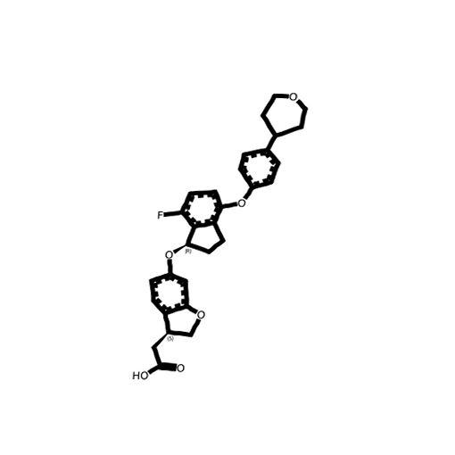 O=C(O)C[C@@H]1COc2cc(O[C@@H]3CCc4c(Oc5ccc(C6CCOCC6)cc5)ccc(F)c43)ccc21